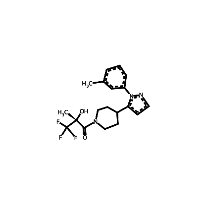 Cc1cccc(-n2nccc2C2CCN(C(=O)[C@@](C)(O)C(F)(F)F)CC2)c1